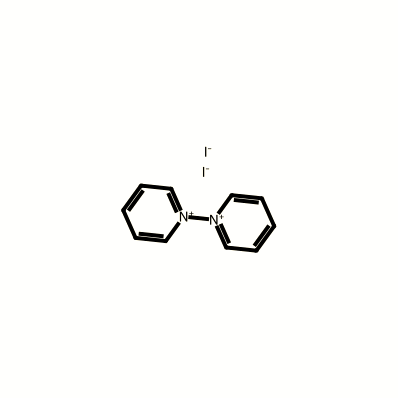 [I-].[I-].c1cc[n+](-[n+]2ccccc2)cc1